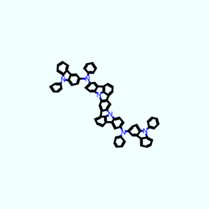 c1ccc(N(c2ccc3c(c2)c2ccccc2n3-c2ccccc2)c2ccc3c(c2)c2cccc4c5cc6c(cc5n3c24)c2cccc3c4cc(N(c5ccccc5)c5ccc7c(c5)c5ccccc5n7-c5ccccc5)ccc4n6c32)cc1